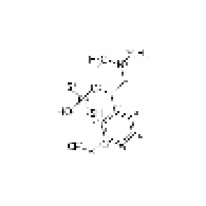 CN(C)CC(OP(O)(=S)S)c1cccc(CCl)c1